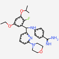 CCOc1cc(OC(C)C)c(F)c(C(Nc2ccc(C(=N)N)cc2)c2cccc(N3CCOCC3)n2)c1